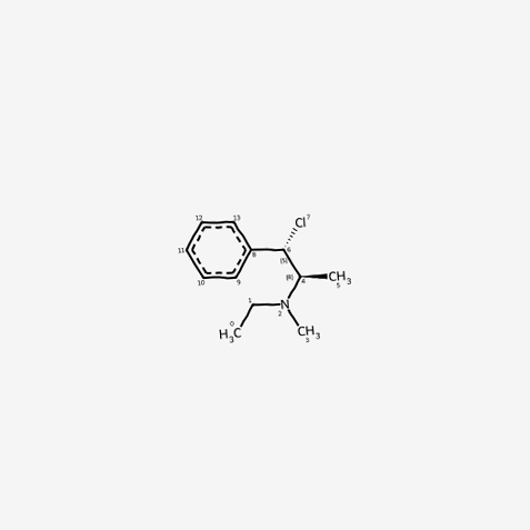 CCN(C)[C@H](C)[C@@H](Cl)c1ccccc1